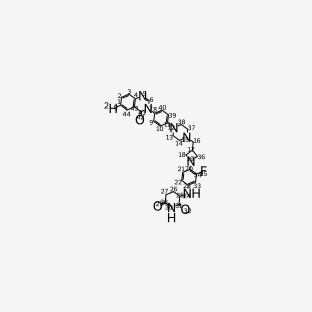 [2H]c1ccc2ncn(-c3ccc(N4CCN(CC5CN(c6ccc(NC7CCC(=O)NC7=O)cc6F)C5)CC4)cc3)c(=O)c2c1